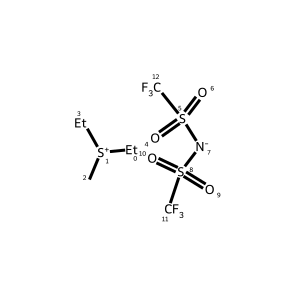 CC[S+](C)CC.O=S(=O)([N-]S(=O)(=O)C(F)(F)F)C(F)(F)F